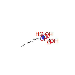 CCCCCCCCCCCCCC[C@@H](O)[C@@H](O)C(CO)NC(=O)CCC(=O)O